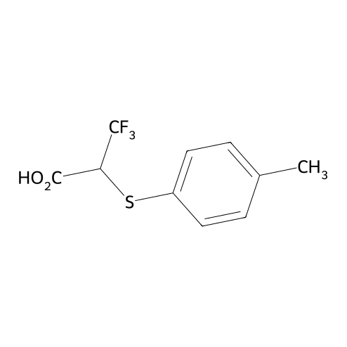 Cc1ccc(SC(C(=O)O)C(F)(F)F)cc1